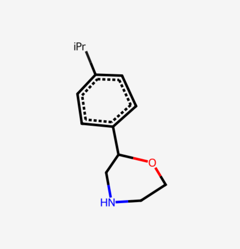 CC(C)c1ccc(C2CNCCO2)cc1